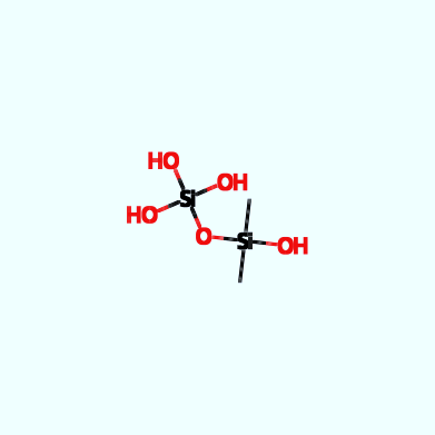 C[Si](C)(O)O[Si](O)(O)O